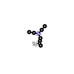 CC1(C)c2ccccc2-c2cc3ccc(-c4nc(-c5ccc(-c6ccccc6)cc5)nc(-c5ccc(-c6ccccc6)cc5)n4)cc3cc21